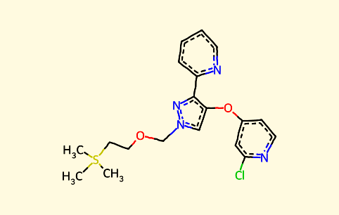 CS(C)(C)CCOCn1cc(Oc2ccnc(Cl)c2)c(-c2ccccn2)n1